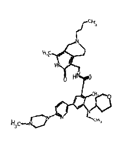 CCCCN1CCc2c(c(C)[nH]c(=O)c2CNC(=O)c2cc(-c3ccc(N4CCN(C)CC4)nc3)cc(N(CC)C3CCOCC3)c2C)C1